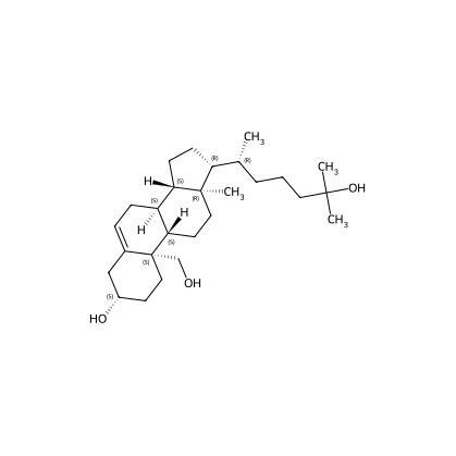 C[C@H](CCCC(C)(C)O)[C@H]1CC[C@H]2[C@@H]3CC=C4C[C@@H](O)CC[C@]4(CO)[C@H]3CC[C@]12C